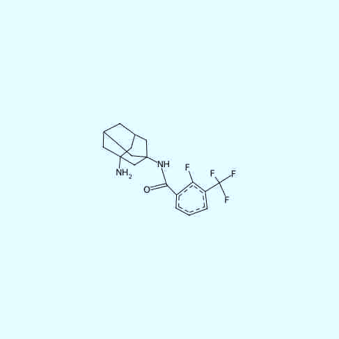 NC12CC3CC(C1)CC(NC(=O)c1cccc(C(F)(F)F)c1F)(C3)C2